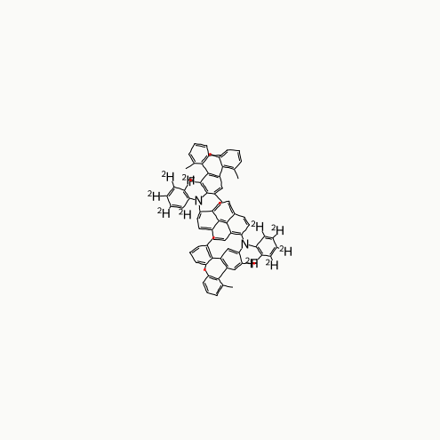 [2H]c1c([2H])c([2H])c(N(c2cc(-c3c(C)cccc3C)c(-c3c(C)cccc3C)cc2F)c2ccc3ccc4c(N(c5c([2H])c([2H])c([2H])c([2H])c5[2H])c5c(C)cc(-c6c(C)cccc6C)c(-c6c(C)cccc6C)c5F)ccc5ccc2c3c54)c([2H])c1[2H]